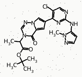 CC(C(=O)OC(C)(C)C)n1cnn2cc(-c3nc(Nc4ccnn4C)ncc3Cl)cc2c1=O